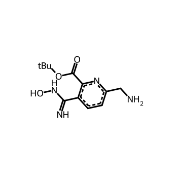 CC(C)(C)OC(=O)c1nc(CN)ccc1C(=N)NO